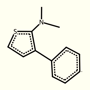 CN(C)c1sccc1-c1cc[c]cc1